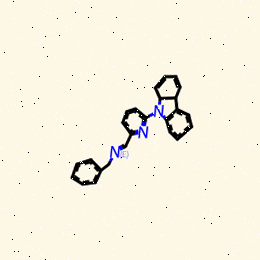 C1=CC2c3ccccc3N(c3cccc(/C=N/Cc4ccccc4)n3)C2C=C1